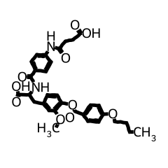 CCCCOc1ccc(C(=O)Oc2ccc(CC(NC(=O)c3ccc(NC(=O)CCC(=O)O)cc3)C(=O)O)cc2OC)cc1